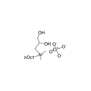 CCCCCCCC[N+](C)(C)CC(O)CO.[O-][Cl+3]([O-])([O-])[O-]